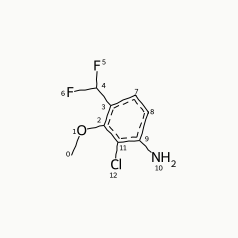 COc1c(C(F)F)ccc(N)c1Cl